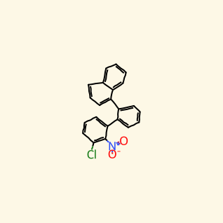 O=[N+]([O-])c1c(Cl)cccc1-c1ccccc1-c1cccc2ccccc12